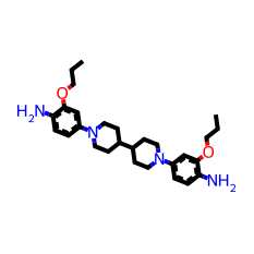 CCCOc1cc(N2CCC(C3CCN(c4ccc(N)c(OCCC)c4)CC3)CC2)ccc1N